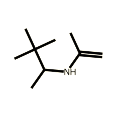 C=C(C)NC(C)C(C)(C)C